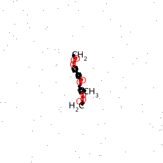 C=CC(=O)OCOc1ccc(-c2ccc(C(=O)OCCc3ccc(OCOC(=O)C=C)c(C)c3)cc2)cc1